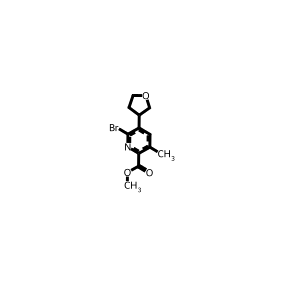 COC(=O)c1nc(Br)c(C2CCOC2)cc1C